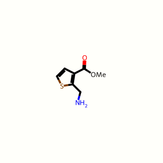 COC(=O)c1ccsc1CN